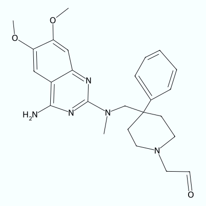 COc1cc2nc(N(C)CC3(c4ccccc4)CCN(CC=O)CC3)nc(N)c2cc1OC